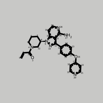 C=CC(=O)N1CCC[C@@H](n2nc(-c3ccc(Oc4ccncc4)cc3)c3c(N)nccc32)C1